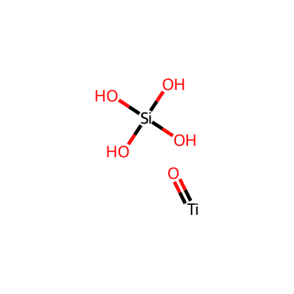 O[Si](O)(O)O.[O]=[Ti]